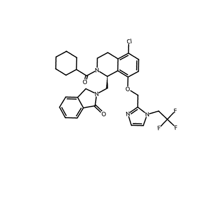 O=C1c2ccccc2CN1C[C@@H]1c2c(OCc3nccn3CC(F)(F)F)ccc(Cl)c2CCN1C(=O)C1CCCCC1